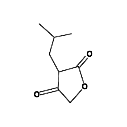 CC(C)CC1C(=O)COC1=O